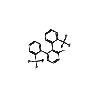 [CH2]c1cccc(-c2ccccc2C(F)(F)F)c1-c1ccccc1C(F)(F)F